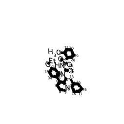 CCOc1ccc(-c2cccnc2[C@@H](Cc2ccccc2)NC(=O)NS(=O)(=O)c2ccccc2C)cc1